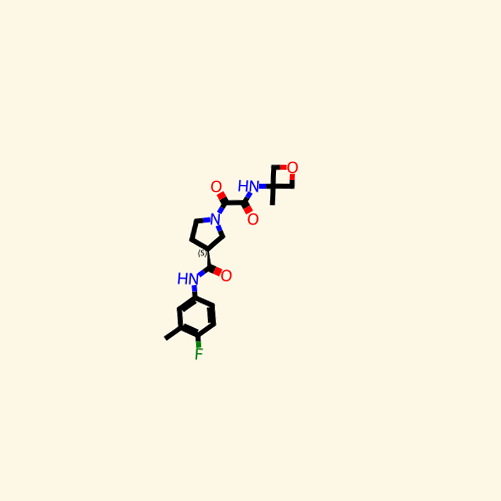 Cc1cc(NC(=O)[C@H]2CCN(C(=O)C(=O)NC3(C)COC3)C2)ccc1F